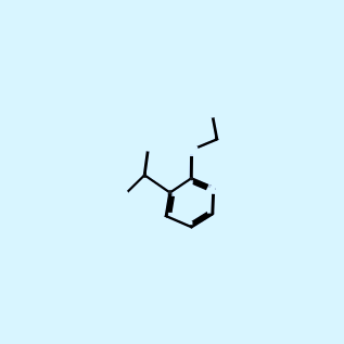 CCOc1ncccc1C(C)C